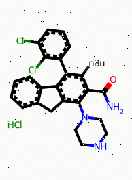 CCCCc1c(C(N)=O)c(N2CCNCC2)c2c(c1-c1cccc(Cl)c1Cl)-c1ccccc1C2.Cl